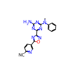 CN(c1ccccc1)c1nc(N)nc(-c2noc(-c3ccc(C#N)nc3)n2)n1